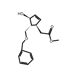 COC(=O)C[C@@H]1C=C[C@H](O)[C@H]1COCc1ccccc1